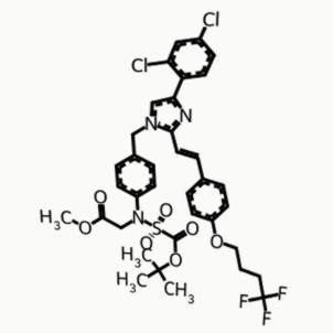 COC(=O)CN(c1ccc(Cn2cc(-c3ccc(Cl)cc3Cl)nc2/C=C/c2ccc(OCCCC(F)(F)F)cc2)cc1)S(=O)(=O)C(=O)OC(C)(C)C